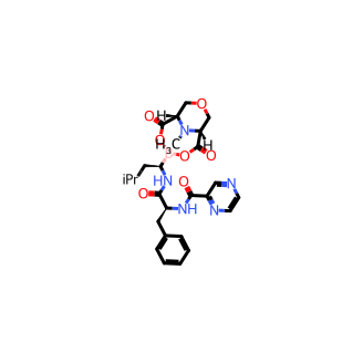 CC(C)C[C@H](NC(=O)[C@H](Cc1ccccc1)NC(=O)c1cnccn1)B1OC(=O)[C@H]2COC[C@@H](C(=O)O1)N2C